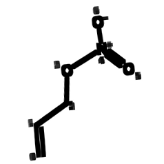 C=C[CH]O[N+](=O)[O-]